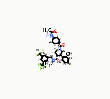 CC(=O)N[C@H]1CC[C@H](C(=O)N2CC[C@@H](C(=O)N(C)Cc3cc(C(F)(F)F)cc(C(F)(F)F)c3)[C@H](c3ccc(F)cc3C)C2)CC1